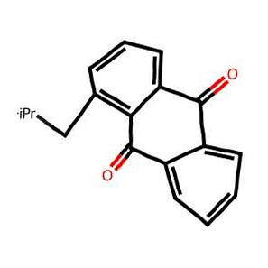 C[C](C)Cc1cccc2c1C(=O)c1ccccc1C2=O